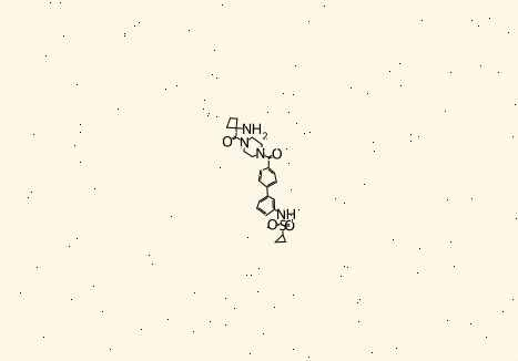 NC1(C(=O)N2CCN(C(=O)c3ccc(-c4cccc(NS(=O)(=O)C5CC5)c4)cc3)CC2)CCC1